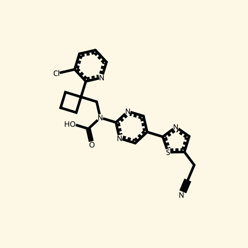 N#CCc1cnc(-c2cnc(N(CC3(c4ncccc4Cl)CCC3)C(=O)O)nc2)s1